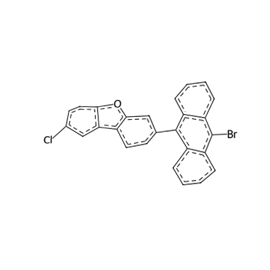 Clc1ccc2oc3cc(-c4c5ccccc5c(Br)c5ccccc45)ccc3c2c1